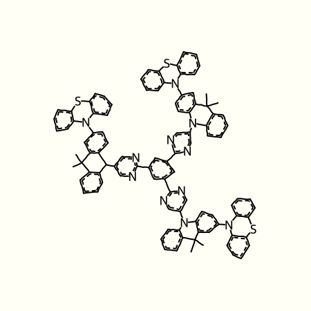 CC1(C)c2ccccc2C(c2cnc(-c3cc(-c4ncc(N5c6ccccc6C(C)(C)c6cc(N7c8ccccc8Sc8ccccc87)ccc65)cn4)cc(-c4ncc(N5c6ccccc6C(C)(C)c6cc(N7c8ccccc8Sc8ccccc87)ccc65)cn4)c3)nc2)c2ccc(N3c4ccccc4Sc4ccccc43)cc21